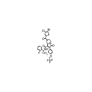 CC(NC(=O)c1c2n(c(=O)n1-c1ccc(OCC(F)(F)F)cc1)CCN(C(=O)c1ccc(Br)c(Cl)c1)C2)c1ccccc1F